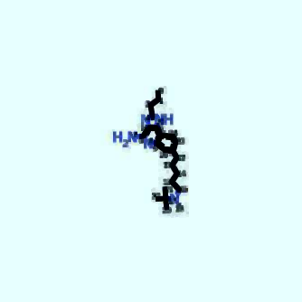 CCCc1nc2c(N)nc3cc(CCCCCN(C)C(C)(C)C)ccc3c2[nH]1